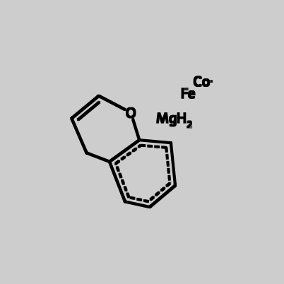 C1=COc2ccccc2C1.[Co].[Fe].[MgH2]